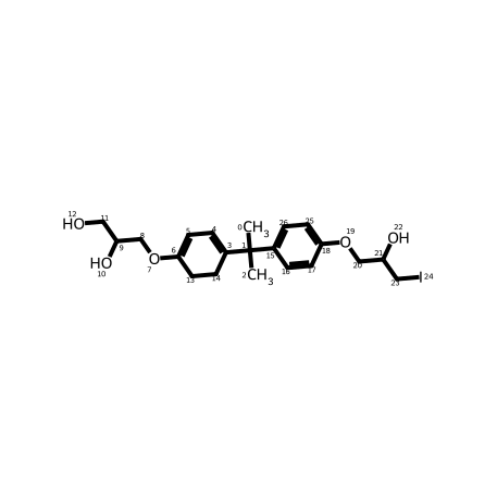 CC(C)(C1=CC=C(OCC(O)CO)CC1)c1ccc(OCC(O)CI)cc1